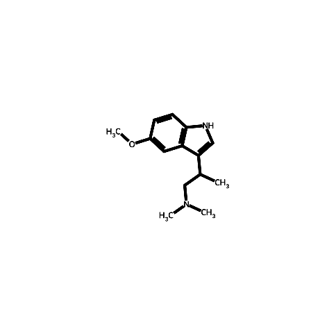 COc1ccc2[nH]cc(C(C)CN(C)C)c2c1